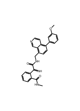 CNC(=O)c1ccccc1C(=N)C(=O)NCc1ccc(-c2cccc(OC)c2)c2ccncc12